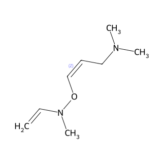 C=CN(C)O/C=C\CN(C)C